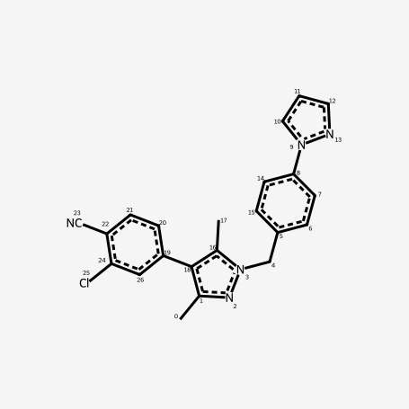 Cc1nn(Cc2ccc(-n3cccn3)cc2)c(C)c1-c1ccc(C#N)c(Cl)c1